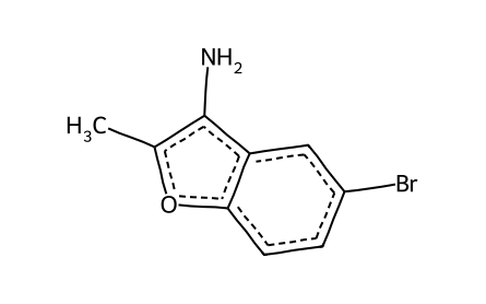 Cc1oc2ccc(Br)cc2c1N